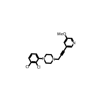 COc1cncc(C#CCN2CCN(c3cccc(Cl)c3Cl)CC2)c1